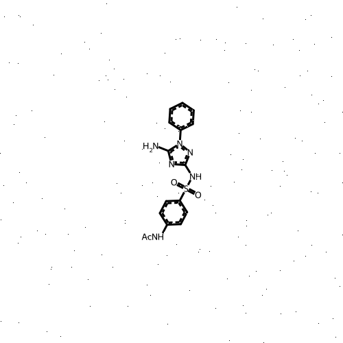 CC(=O)Nc1ccc(S(=O)(=O)Nc2nc(N)n(-c3ccccc3)n2)cc1